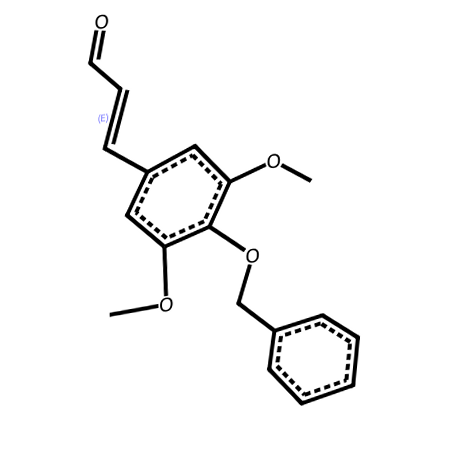 COc1cc(/C=C/C=O)cc(OC)c1OCc1ccccc1